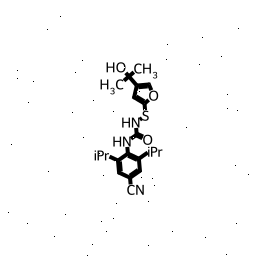 CC(C)c1cc(C#N)cc(C(C)C)c1NC(=O)NSc1cc(C(C)(C)O)co1